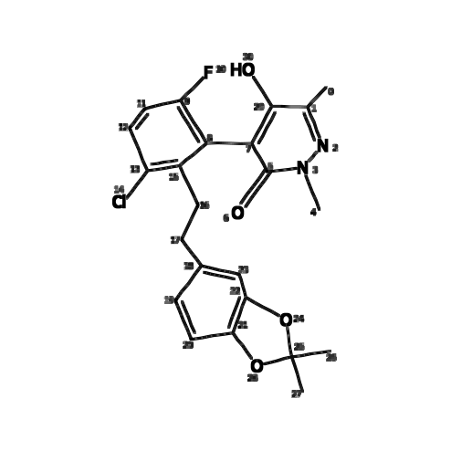 Cc1nn(C)c(=O)c(-c2c(F)ccc(Cl)c2CCc2ccc3c(c2)OC(C)(C)O3)c1O